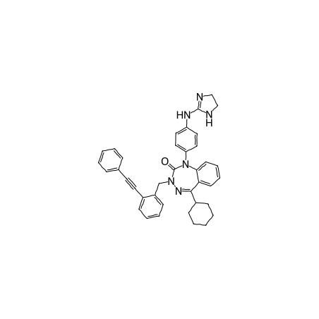 O=C1N(Cc2ccccc2C#Cc2ccccc2)N=C(C2CCCCC2)c2ccccc2N1c1ccc(NC2=NCCN2)cc1